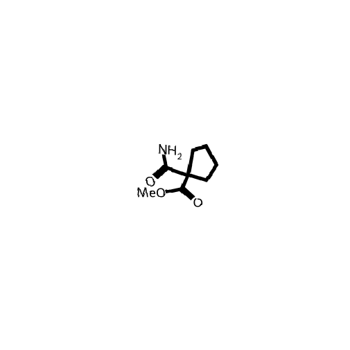 COC(=O)C1(C(N)=O)CCCC1